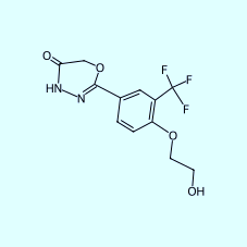 O=C1COC(c2ccc(OCCO)c(C(F)(F)F)c2)=NN1